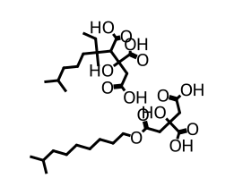 CC(C)CCCCCCCOC(=O)CC(O)(CC(=O)O)C(=O)O.CCC(C)(CCCC(C)C)C(C(=O)O)C(O)(CC(=O)O)C(=O)O